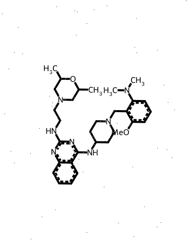 COc1cccc(N(C)C)c1CN1CCC(Nc2nc(NCCN3CC(C)OC(C)C3)nc3ccccc23)CC1